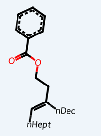 CCCCCCCC=C(CCCCCCCCCC)CCOC(=O)c1ccccc1